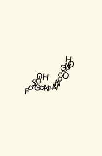 O=C1CCC(CCC2CCc3cc(N4CCN(CC5CCN(c6ccc(Oc7c(-c8ccc(F)cc8)sc8cc(O)ccc78)cc6)CC5)CC4)ccc3C2=O)C(=O)N1